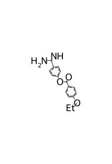 CCOc1ccc(C(=O)Oc2ccc(C(=N)N)cc2)cc1